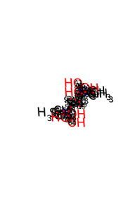 C[Si](C)(C)c1ccc(N(c2ccc(-c3cc4c5ccccc5c(-c5ccc(N(c6ccc([Si](C)(C)C)cc6)c6c(O)cc(O)cc6O)cc5)cc4c4ccccc34)cc2)c2c(O)cc(O)cc2O)cc1